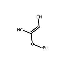 CC(C)(C)OC(C#N)=CC#N